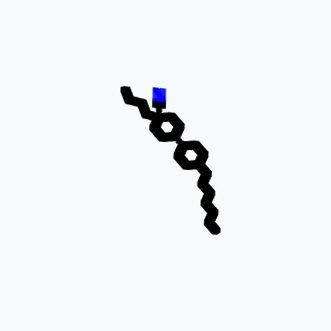 CCCCCCCC1CCC([C@H]2CC[C@](C#N)(CCCC)CC2)CC1